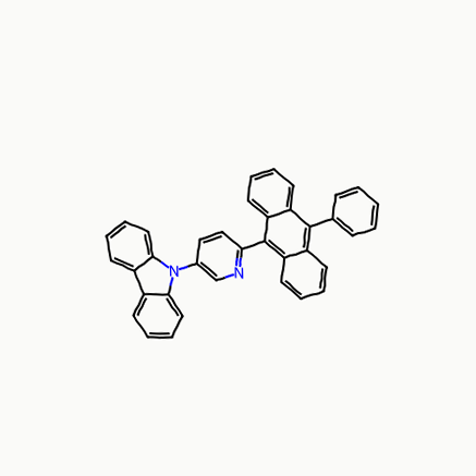 c1ccc(-c2c3ccccc3c(-c3ccc(-n4c5ccccc5c5ccccc54)cn3)c3ccccc23)cc1